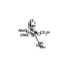 COc1ccc(CNc2ncc(/C=C/CCCCNC(=O)OC(C)(C)C)c3c2c(-c2ccc(C(=O)Nc4cc(C(F)(F)F)ccn4)cc2)nn3[C@@H]2CCC[C@@H](C(=O)O)C2)c(OC)c1